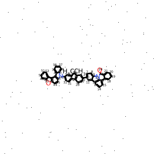 CC1(C)c2cc(-c3ccc4c(c3)c3cccc5c6ccccc6c(=O)n4c53)ccc2-c2ccc(-n3c4ccccc4c4c5c(ccc43)oc3ccccc35)cc21